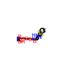 C[C@H](C(=O)O)N(C)C(=O)CCOCCOCCOCCNC(=O)c1ccc2nc3c(nc2c1)CSC1CCCCCCCCC(C1)SC3